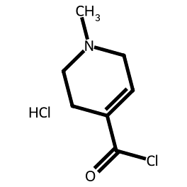 CN1CC=C(C(=O)Cl)CC1.Cl